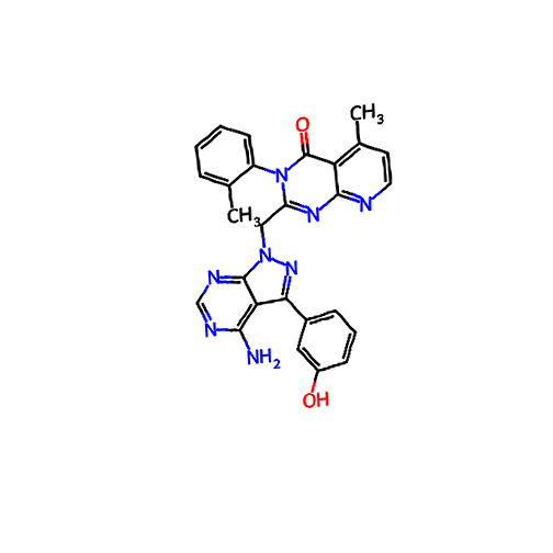 Cc1ccccc1-n1c(Cn2nc(-c3cccc(O)c3)c3c(N)ncnc32)nc2nccc(C)c2c1=O